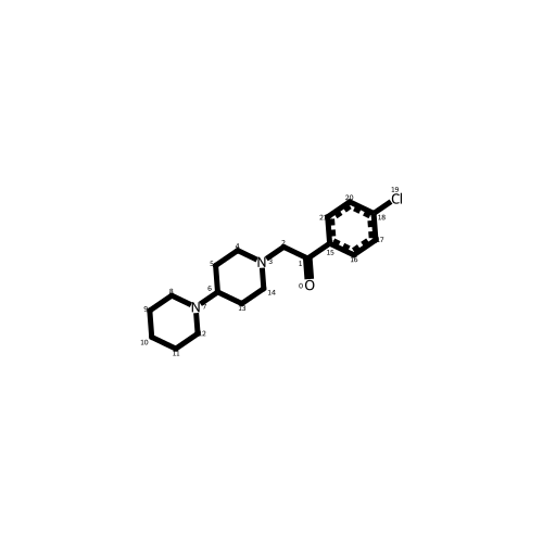 O=C(CN1CCC(N2CCCCC2)CC1)c1ccc(Cl)cc1